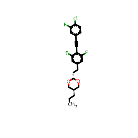 CCC[C@H]1CO[C@H](CCc2cc(F)c(C#Cc3ccc(Cl)c(F)c3)c(F)c2)OC1